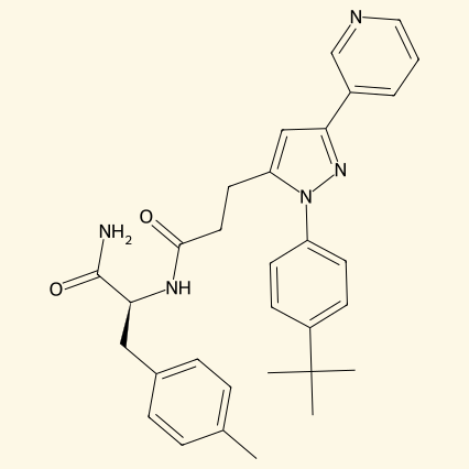 Cc1ccc(C[C@H](NC(=O)CCc2cc(-c3cccnc3)nn2-c2ccc(C(C)(C)C)cc2)C(N)=O)cc1